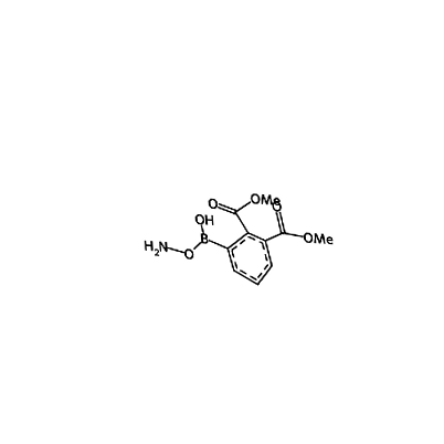 COC(=O)c1cccc(B(O)ON)c1C(=O)OC